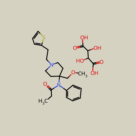 CCC(=O)N(c1ccccc1)C1(COC)CCN(CCc2cccs2)CC1.O=C(O)C(O)C(O)C(=O)O